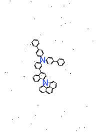 c1ccc(-c2ccc(N(c3ccc(-c4ccccc4)cc3)c3cccc(-c4ccc(-n5c6cccc7ccc8cccc5c8c76)c5ccccc45)c3)cc2)cc1